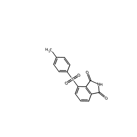 Cc1ccc(S(=O)(=O)c2cccc3c2C(=O)NC3=O)cc1